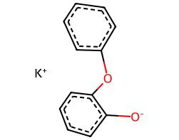 [K+].[O-]c1ccccc1Oc1ccccc1